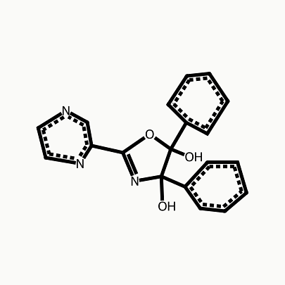 OC1(c2ccccc2)N=C(c2cnccn2)OC1(O)c1ccccc1